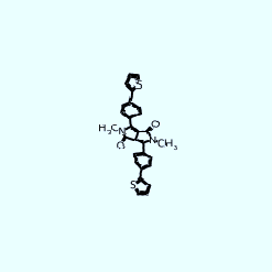 CN1C(=O)C2=C(c3ccc(-c4cccs4)cc3)N(C)C(=O)C2=C1c1ccc(-c2cccs2)cc1